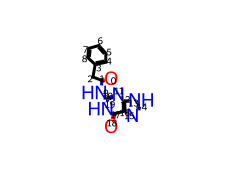 O=C(Cc1ccccc1)Nc1nc2[nH]cnc2c(=O)[nH]1